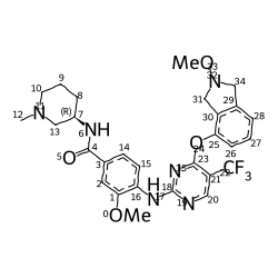 COc1cc(C(=O)N[C@@H]2CCCN(C)C2)ccc1Nc1ncc(C(F)(F)F)c(Oc2cccc3c2CN(OC)C3)n1